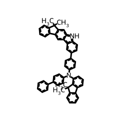 CC1(C)c2ccccc2-c2cc3c(cc21)[nH]c1ccc(-c2ccc(N(c4ccc(-c5ccccc5)cc4)c4cccc5c4C(C)(C)c4ccccc4-5)cc2)cc13